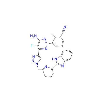 Cc1c(C#N)cccc1-c1nc(N)c(F)c(-c2cn(Cc3cccc(-c4nc5ccccc5[nH]4)n3)nn2)n1